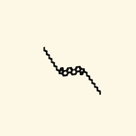 CCCCCCCCCCCCc1cc2ccc3c4ccc5c(ccc6cc(CCCCCCCCCCCC)oc65)c4ccc3c2o1